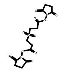 O=C(CCS(=O)(=O)CCC(=O)ON1C(=O)CCC1=O)ON1C(=O)CCC1=O